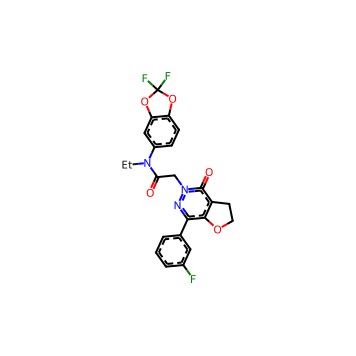 CCN(C(=O)Cn1nc(-c2cccc(F)c2)c2c(c1=O)CCO2)c1ccc2c(c1)OC(F)(F)O2